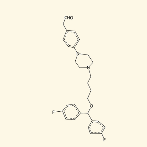 O=CCc1ccc(N2CCN(CCCCOC(c3ccc(F)cc3)c3ccc(F)cc3)CC2)cc1